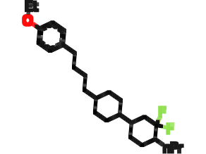 CCCC1CCC(C2CCC(CCCCc3ccc(OCC)cc3)CC2)CC1(F)F